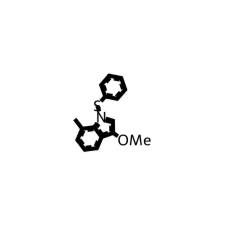 COc1cn(Sc2ccccc2)c2c(C)cccc12